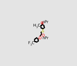 CCCOc1ccc(SCC(COc2ccc(C(F)(F)F)cc2)OCCC)cc1C